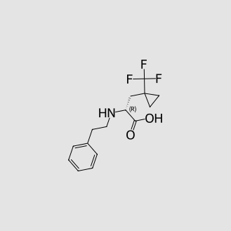 O=C(O)[C@@H](CC1(C(F)(F)F)CC1)NCCc1ccccc1